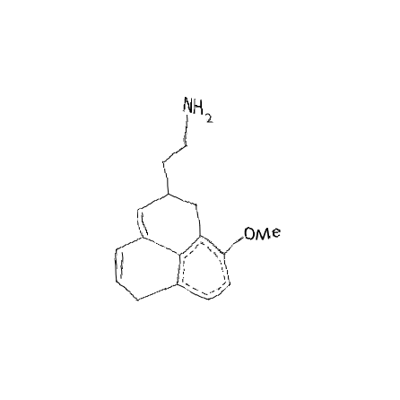 COc1ccc2c3c1CC(CCN)C=C3C=CC2